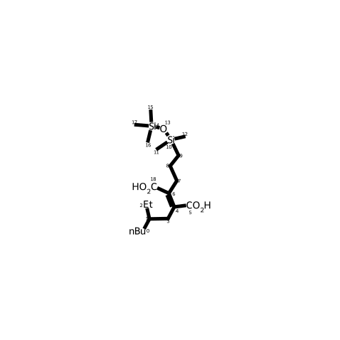 CCCCC(CC)C/C(C(=O)O)=C(/CCC[Si](C)(C)O[Si](C)(C)C)C(=O)O